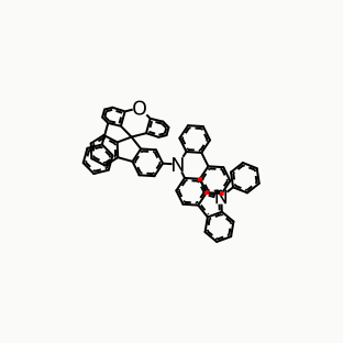 c1ccc(-c2ccccc2N(c2ccc3c(c2)C2(c4ccccc4Oc4cccc(-c5ccccc5)c42)c2ccccc2-3)c2ccc3c4ccccc4n(-c4ccccc4)c3c2)cc1